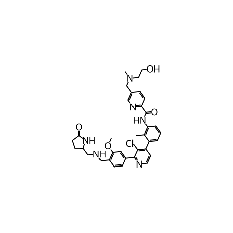 COc1cc(-c2nccc(-c3cccc(NC(=O)c4ccc(CN(C)CCO)cn4)c3C)c2Cl)ccc1CNCC1CCC(=O)N1